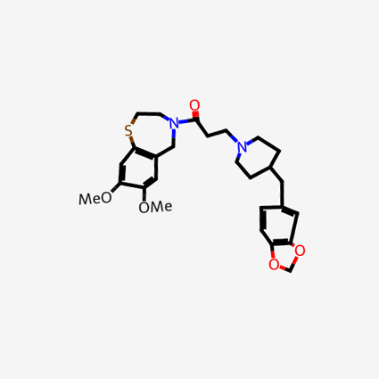 COc1cc2c(cc1OC)SCCN(C(=O)CCN1CCC(Cc3ccc4c(c3)OCO4)CC1)C2